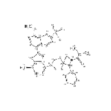 COc1ccc(-c2nc(C(=O)N3CCC4(CC3)CN(C(=O)C(C)C)C4c3ccccc3)c([C@H](C)N)o2)c2ccc(C(F)(F)F)nc12